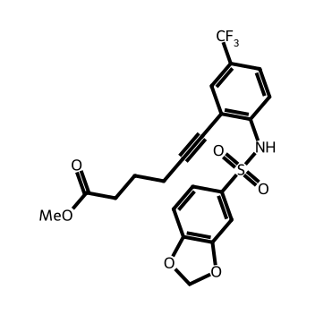 COC(=O)CCCC#Cc1cc(C(F)(F)F)ccc1NS(=O)(=O)c1ccc2c(c1)OCO2